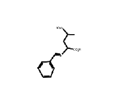 CSC(C)CC(N=Cc1ccccc1)C(=O)O